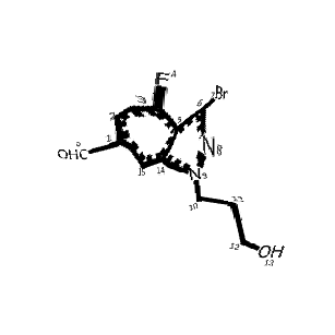 O=Cc1cc(F)c2c(Br)nn(CCCO)c2c1